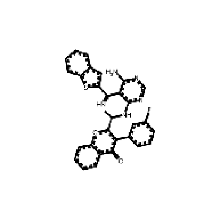 CC(Nc1ncnc(N)c1C(=N)c1cc2ccccc2s1)c1oc2ccccc2c(=O)c1-c1cccc(F)c1